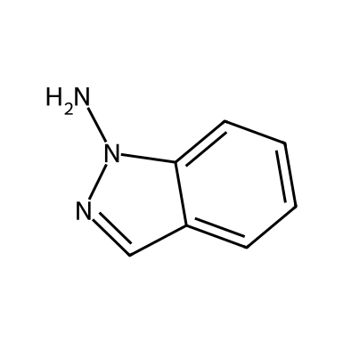 Nn1ncc2ccccc21